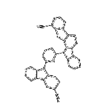 N#Cc1ccc2c(c1)c1ccccc1n2-c1cccc(-n2c3ccccc3c3ccc4c5cccc(C#N)c5sc4c32)n1